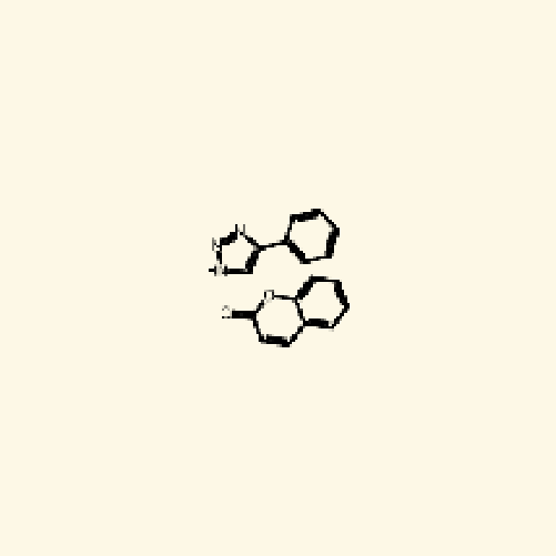 O=c1ccc2ccccc2o1.c1ccc(-c2c[nH]nn2)cc1